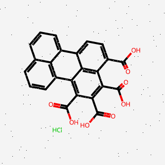 Cl.O=C(O)c1c(C(=O)O)c2c(C(=O)O)ccc3c4cccc5cccc(c(c1C(=O)O)c23)c54